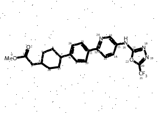 COC(=O)CC1CCC(c2ccc(-c3ccc(Nc4nnc(C(F)(F)F)o4)cn3)cc2)CC1